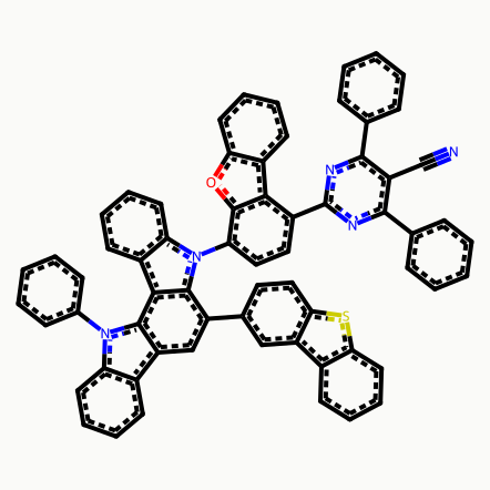 N#Cc1c(-c2ccccc2)nc(-c2ccc(-n3c4ccccc4c4c3c(-c3ccc5sc6ccccc6c5c3)cc3c5ccccc5n(-c5ccccc5)c34)c3oc4ccccc4c23)nc1-c1ccccc1